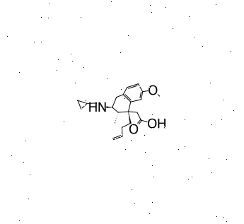 C=CCC[C@]1(CC(=O)O)c2cc(OC)ccc2C[C@H](NCC2CC2)[C@H]1C